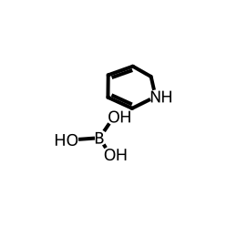 C1=CCNC=C1.OB(O)O